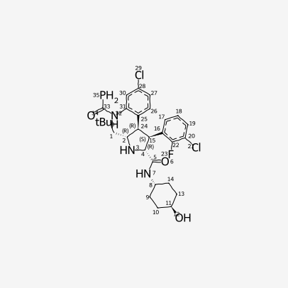 CC(C)(C)C[C@H]1N[C@@H](C(=O)N[C@H]2CC[C@H](O)CC2)[C@H](c2cccc(Cl)c2F)[C@@H]1c1ccc(Cl)cc1NC(=O)P